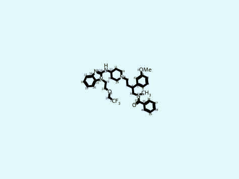 COc1cccc(C(CCN2CCC(Nc3nc4ccccc4n3CCOCC(F)(F)F)CC2)CN(C)C(=O)c2ccccc2)c1